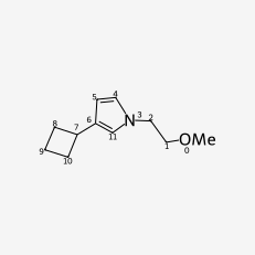 COCCn1ccc(C2CCC2)c1